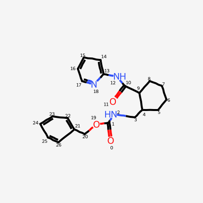 O=C(NCC1CCCCC1C(=O)Nc1ccccn1)OCc1ccccc1